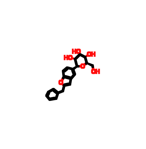 OC[C@H]1O[C@@H](c2ccc3oc(Cc4ccccc4)cc3c2)[C@H](O)C(O)[C@@H]1O